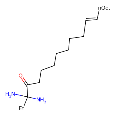 CCCCCCCCC=CCCCCCCCC(=O)C(N)(N)CC